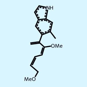 C=C(/C(=C\C=C/COC)OC)c1cc2cc[nH]c2cc1C